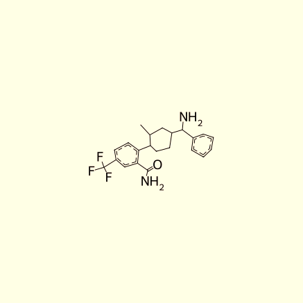 CC1CC(C(N)c2ccccc2)CCC1c1ccc(C(F)(F)F)cc1C(N)=O